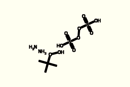 CC(C)(C)OO.N.N.O=S(=O)(O)OOS(=O)(=O)O